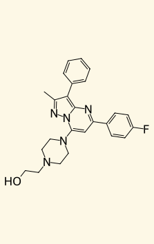 Cc1nn2c(N3CCN(CCO)CC3)cc(-c3ccc(F)cc3)nc2c1-c1ccccc1